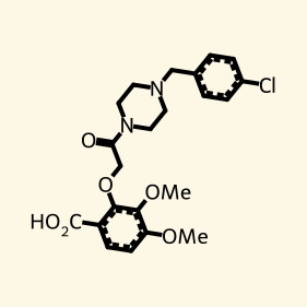 COc1ccc(C(=O)O)c(OCC(=O)N2CCN(Cc3ccc(Cl)cc3)CC2)c1OC